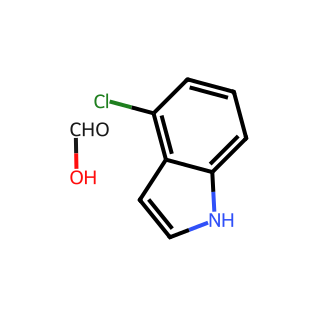 Clc1cccc2[nH]ccc12.O=CO